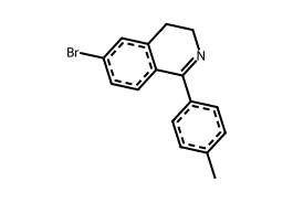 Cc1ccc(C2=NCCc3cc(Br)ccc32)cc1